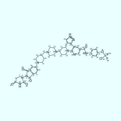 O=C1CCN(N2C(=O)c3ccc(N4CCC(CN5CCN(C6CCN(c7ncc(C(=O)Nc8ccc(OC(F)(F)Cl)cc8)cc7-c7cc[nH]n7)CC6)CC5)CC4)cc3C2=O)C(=O)N1